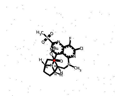 CN1C[C@@H]2[C@@H]3CC[C@H](CN2c2nc(S(C)(=O)=O)nc4c(F)c(Cl)nc1c24)N3C(=O)OC(C)(C)C